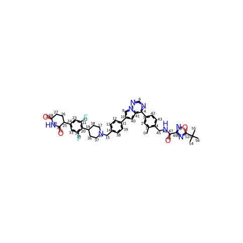 Cc1cc(-c2ncnn3cc(-c4ccc(CN5CCC(c6c(F)cc(C7CCC(=O)NC7=O)cc6F)CC5)cc4)cc23)ccc1CNC(=O)c1noc(C(C)(C)C)n1